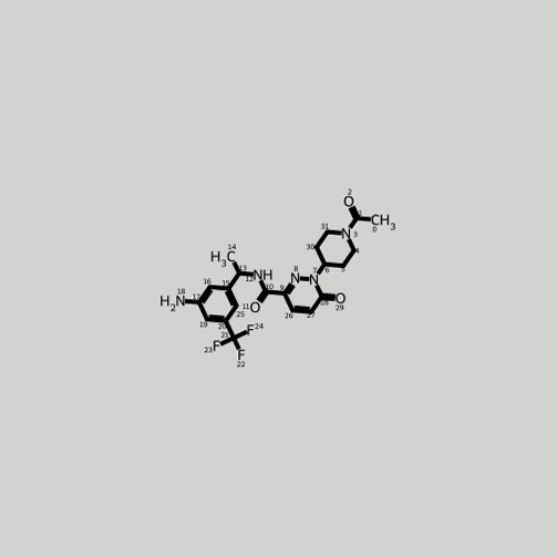 CC(=O)N1CCC(n2nc(C(=O)NC(C)c3cc(N)cc(C(F)(F)F)c3)ccc2=O)CC1